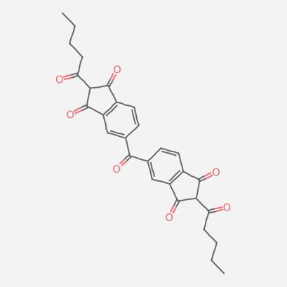 CCCCC(=O)C1C(=O)c2ccc(C(=O)c3ccc4c(c3)C(=O)C(C(=O)CCCC)C4=O)cc2C1=O